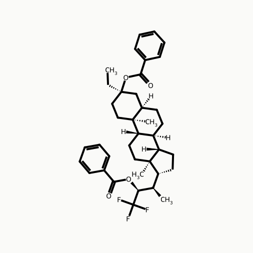 CC[C@@]1(OC(=O)c2ccccc2)CC[C@@]2(C)[C@H](CC[C@@H]3[C@@H]2CC[C@]2(C)[C@@H]([C@@H](C)[C@H](OC(=O)c4ccccc4)C(F)(F)F)CC[C@@H]32)C1